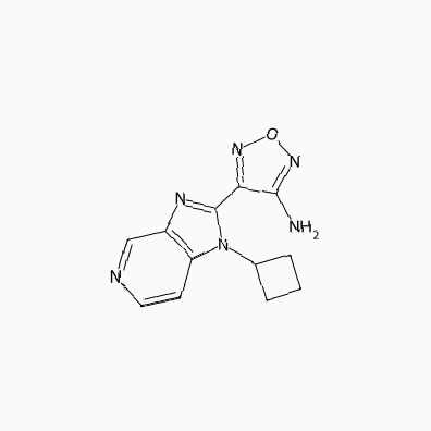 Nc1nonc1-c1nc2cnccc2n1C1CCC1